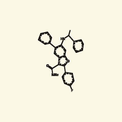 CNC(=O)c1c(-c2ccc(F)cc2)oc2cc(NC(C)c3ccccc3)c(-c3ccccc3)cc12